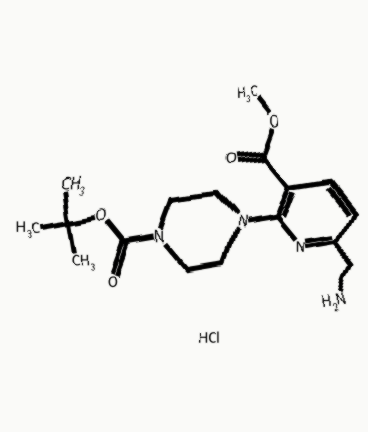 COC(=O)c1ccc(CN)nc1N1CCN(C(=O)OC(C)(C)C)CC1.Cl